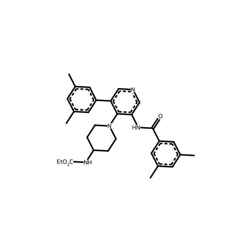 CCOC(=O)NC1CCN(c2c(NC(=O)c3cc(C)cc(C)c3)cncc2-c2cc(C)cc(C)c2)CC1